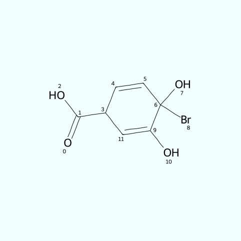 O=C(O)C1C=CC(O)(Br)C(O)=C1